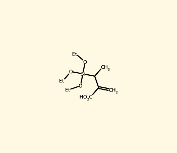 C=C(C(=O)O)C(C)[Si](OCC)(OCC)OCC